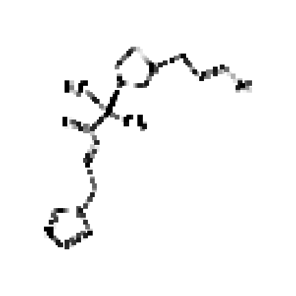 CC(=O)/C=C/CN1CC[C@H](C(C)(C)C(=O)/C=C/Cn2ccnc2)C1